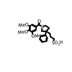 COc1cc(C(=O)N2CCC(CCCS(=O)(=O)O)(c3ccccc3)C2)cc(OC)c1OC